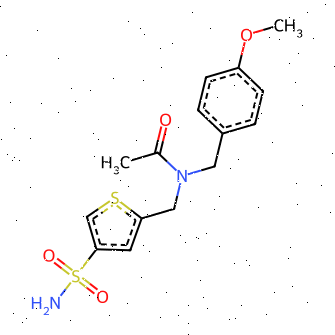 COc1ccc(CN(Cc2cc(S(N)(=O)=O)cs2)C(C)=O)cc1